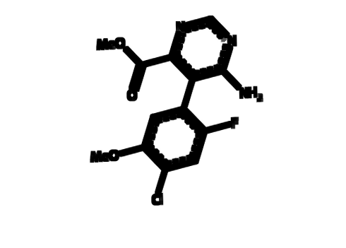 COC(=O)c1ncnc(N)c1-c1cc(OC)c(Cl)cc1F